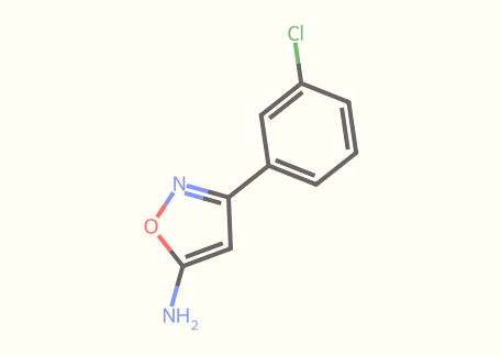 Nc1cc(-c2cccc(Cl)c2)no1